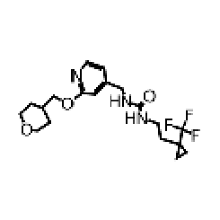 O=C(NCCC1(C(F)(F)F)CC1)NCc1ccnc(OCC2CCOCC2)c1